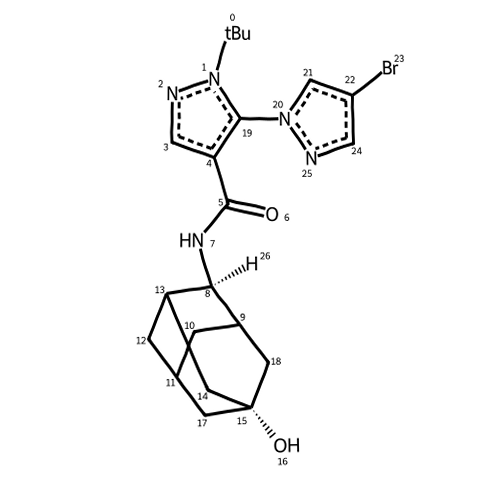 CC(C)(C)n1ncc(C(=O)N[C@H]2C3CC4CC2C[C@](O)(C4)C3)c1-n1cc(Br)cn1